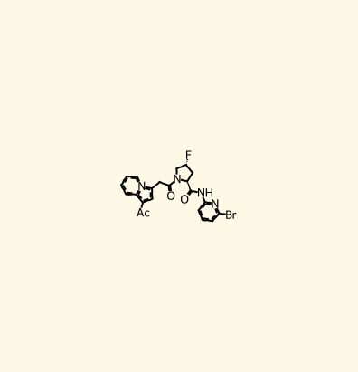 CC(=O)c1cc(CC(=O)N2C[C@H](F)C[C@H]2C(=O)Nc2cccc(Br)n2)n2ccccc12